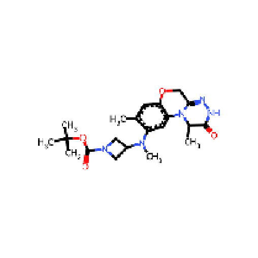 Cc1cc2c(cc1N(C)C1CN(C(=O)OC(C)(C)C)C1)N1C(=NNC(=O)C1C)CO2